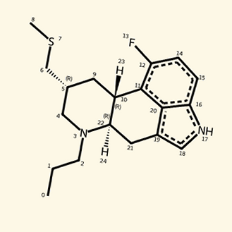 CCCN1C[C@H](CSC)C[C@@H]2c3c(F)ccc4[nH]cc(c34)C[C@H]21